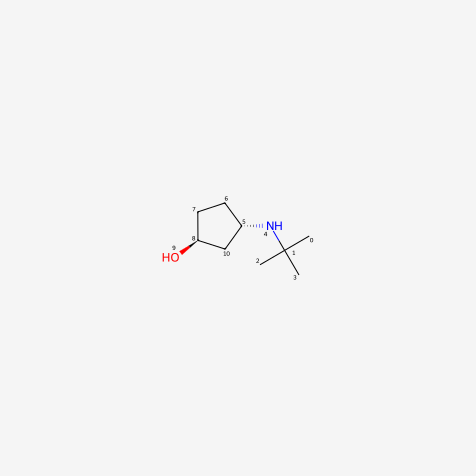 CC(C)(C)N[C@H]1CC[C@H](O)C1